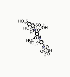 O=C1NC(=O)C(/N=N/c2ccc(/N=N/c3cc(OCCO)c(/N=N/c4c(S(=O)(=O)O)cc5cc(S(=O)(=O)O)cc(O)c5c4O)cc3OCCO)c(S(=O)(=O)O)c2)C(=O)N1